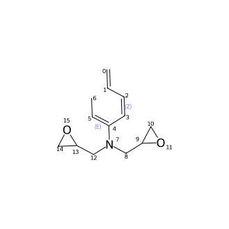 C=C/C=C\C(=C/C)N(CC1CO1)CC1CO1